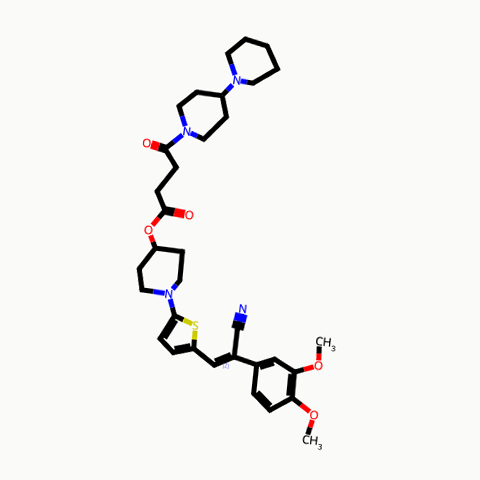 COc1ccc(/C(C#N)=C/c2ccc(N3CCC(OC(=O)CCC(=O)N4CCC(N5CCCCC5)CC4)CC3)s2)cc1OC